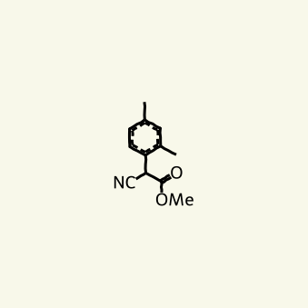 COC(=O)C(C#N)c1ccc(C)cc1C